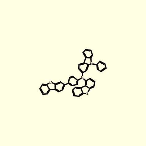 c1ccc(-n2c3ccccc3c3ccc(N(c4ccc(-c5ccc6c(c5)oc5ccccc56)cc4)c4cccc5sc6ccccc6c45)cc32)cc1